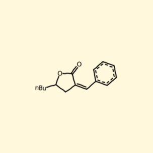 CCCCC1CC(=Cc2ccccc2)C(=O)O1